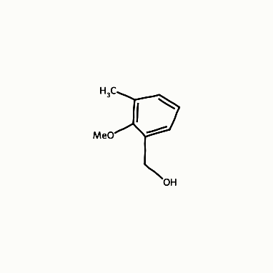 COc1c(C)cccc1CO